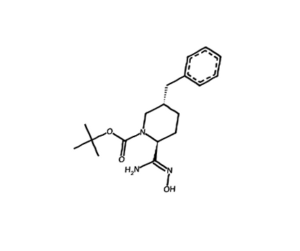 CC(C)(C)OC(=O)N1C[C@H](Cc2ccccc2)CC[C@H]1/C(N)=N/O